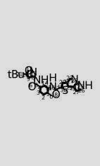 Cc1ccc(C(=O)Nc2cc(C(C)(C)C)on2)cc1NC(=O)c1cc2cnc3[nH]ccc3c2s1